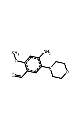 COc1cc(N)c(N2CCOCC2)cc1C=O